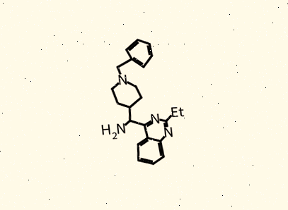 CCc1nc(C(N)C2CCN(Cc3ccccc3)CC2)c2ccccc2n1